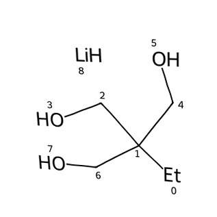 CCC(CO)(CO)CO.[LiH]